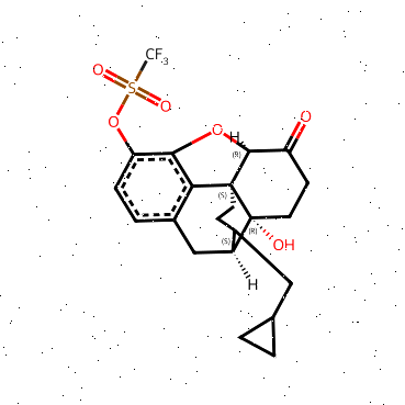 O=C1CC[C@@]2(O)[C@H]3Cc4ccc(OS(=O)(=O)C(F)(F)F)c5c4[C@@]2(CCC3CC2CC2)[C@H]1O5